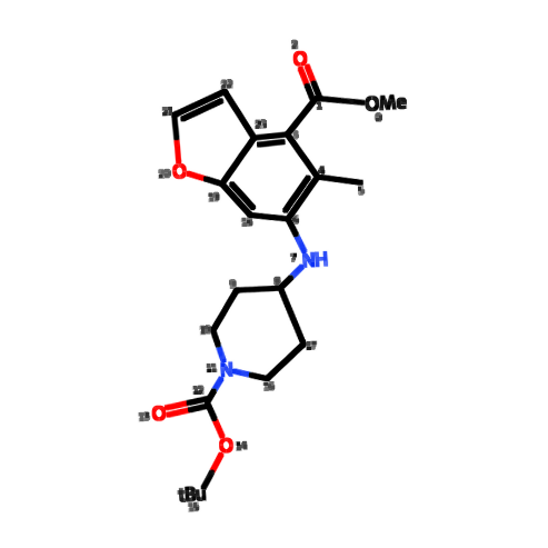 COC(=O)c1c(C)c(NC2CCN(C(=O)OC(C)(C)C)CC2)cc2occc12